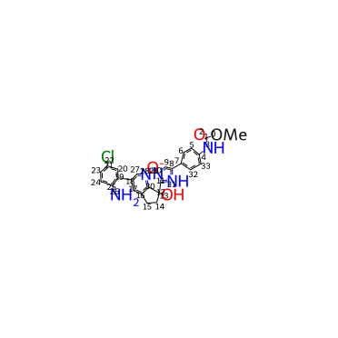 COC(=O)Nc1ccc(-c2cnc(C3(O)CCc4cc(-c5cc(Cl)ccc5N)c[n+]([O-])c43)[nH]2)cc1